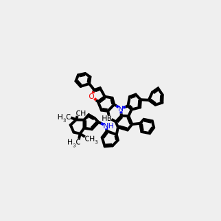 CC1(C)CCC(C)(C)c2cc(Nc3ccccc3-c3cc(-c4ccccc4)c4c5cc(-c6ccccc6)ccc5n5c4c3Bc3cc4oc(-c6ccccc6)cc4cc3-5)ccc21